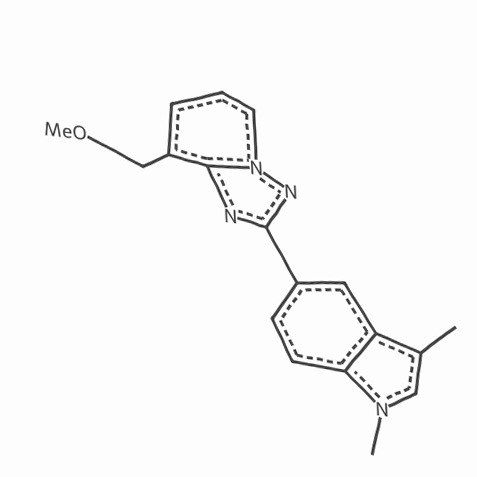 COCc1cccn2nc(-c3ccc4c(c3)c(C)cn4C)nc12